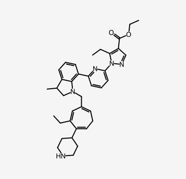 CCOC(=O)c1cnn(-c2cccc(-c3cccc4c3N(CC3=CCC=C(C5CCNCC5)C(CC)=C3)CC4C)n2)c1CC